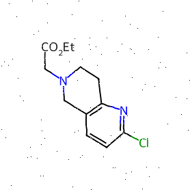 CCOC(=O)CN1CCc2nc(Cl)ccc2C1